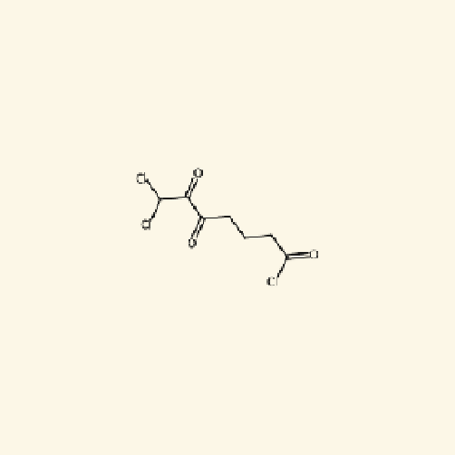 O=C(Cl)CCCC(=O)C(=O)C(Cl)Cl